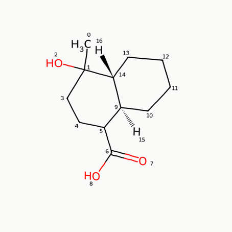 CC1(O)CCC(C(=O)O)[C@@H]2CCCC[C@H]21